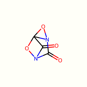 O=C1N2OC3(ON13)C2=O